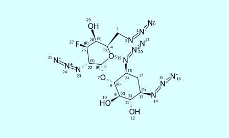 [N-]=[N+]=NC[C@H]1O[C@H](O[C@H]2[C@H](O)[C@@H](O)[C@H](N=[N+]=[N-])C[C@@H]2N=[N+]=[N-])[C@H](N=[N+]=[N-])[C@@H](F)[C@H]1O